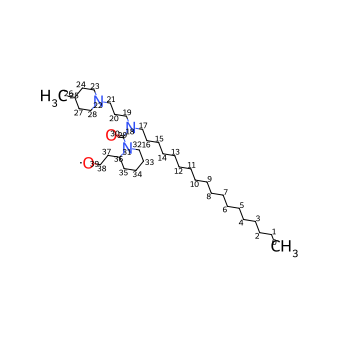 CCCCCCCCCCCCCCCCCCN(CCCN1CCC(C)CC1)C(=O)N1CCCCC1CC[O]